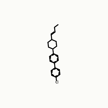 CCC=CC1CCC(c2ccc(-c3ccc(Cl)cc3)cc2)CC1